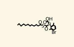 CCCCCCCCCCCC(=O)SCC(=O)N(CC(=O)O)c1c(C)ccc(Br)c1C